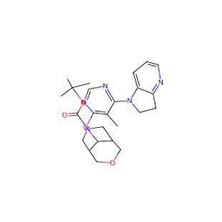 Cc1c(OC2C3COCC2CN(C(=O)OC(C)(C)C)C3)ncnc1N1CCc2ncccc21